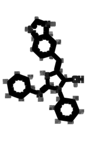 OC1/C(=C/c2ccc3scnc3c2)S/C(=N\c2ccccc2)N1c1ccccc1